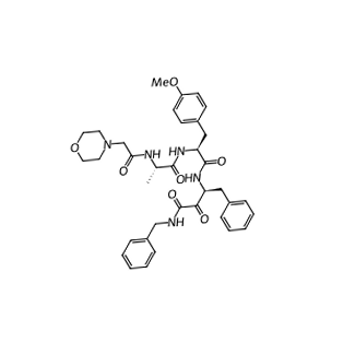 COc1ccc(C[C@H](NC(=O)[C@H](C)NC(=O)CN2CCOCC2)C(=O)N[C@@H](Cc2ccccc2)C(=O)C(=O)NCc2ccccc2)cc1